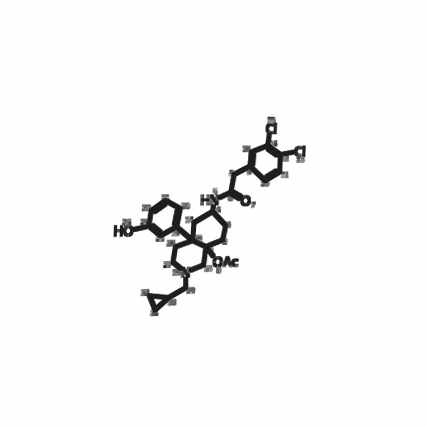 CC(=O)OC12CCC(NC(=O)Cc3ccc(Cl)c(Cl)c3)CC1(c1cccc(O)c1)CCN(CC1CC1)C2